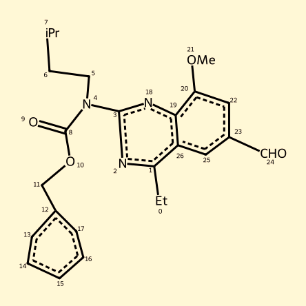 CCc1nc(N(CCC(C)C)C(=O)OCc2ccccc2)nc2c(OC)cc(C=O)cc12